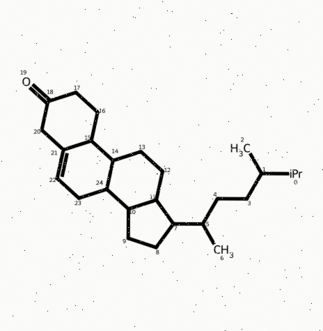 CC(C)C(C)CCC(C)C1CCC2C1CCC1C3CCC(=O)CC3=CCC12